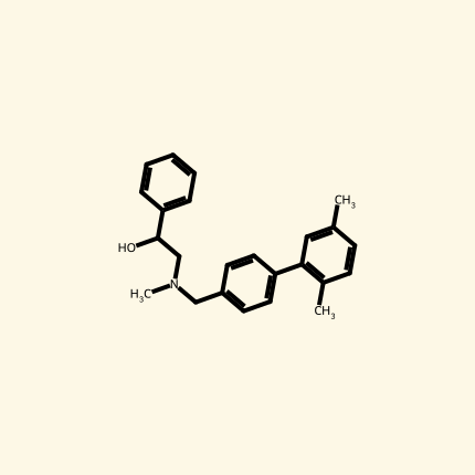 Cc1ccc(C)c(-c2ccc(CN(C)CC(O)c3ccccc3)cc2)c1